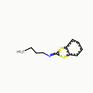 O=C(O)CCCN=c1sc2ccccc2s1